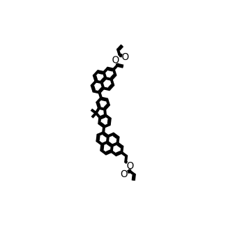 C=CC(=O)OCCc1cc2ccc3ccc(-c4ccc5c(c4)C(C)(C)c4cc(-c6ccc7ccc8cc(C(=C)OC(=O)C=C)cc9ccc6c7c89)ccc4-5)c4ccc(c1)c2c34